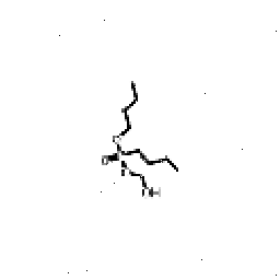 CCCCOP(=O)(CCCC)OCO